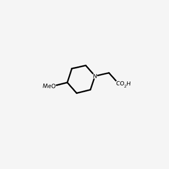 COC1CCN(CC(=O)O)CC1